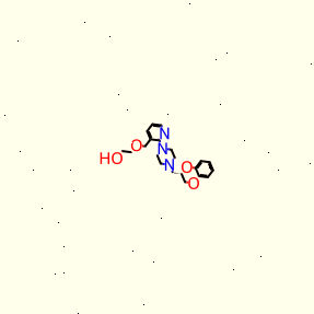 OCCOCc1cccnc1N1CCN(C[C@H]2COc3ccccc3O2)CC1